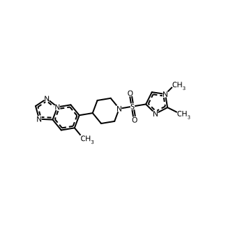 Cc1cc2ncnn2cc1C1CCN(S(=O)(=O)c2cn(C)c(C)n2)CC1